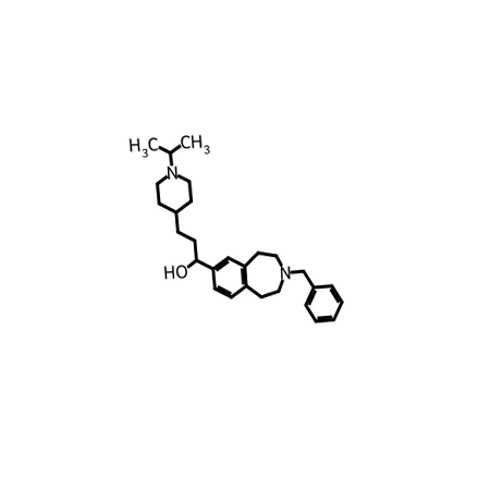 CC(C)N1CCC(CCC(O)c2ccc3c(c2)CCN(Cc2ccccc2)CC3)CC1